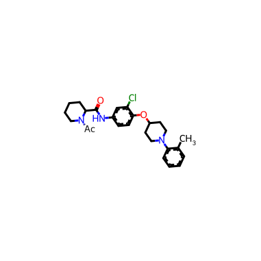 CC(=O)N1CCCCC1C(=O)Nc1ccc(OC2CCN(c3ccccc3C)CC2)c(Cl)c1